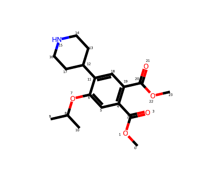 COC(=O)c1cc(OC(C)C)c(C2CCNCC2)cc1C(=O)OC